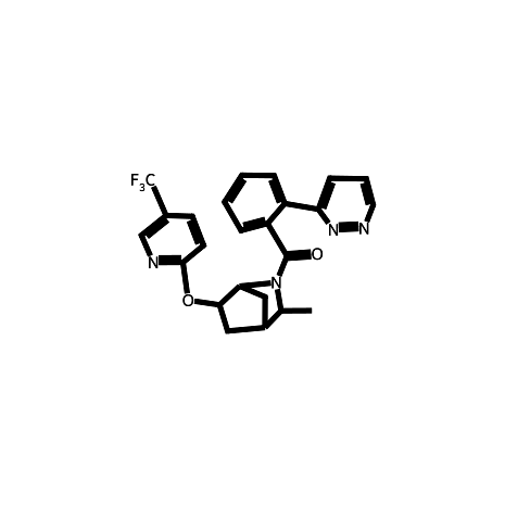 CC1C2CC(Oc3ccc(C(F)(F)F)cn3)C(C2)N1C(=O)c1ccccc1-c1cccnn1